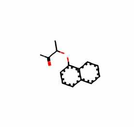 CCC(=O)C(C)Oc1cccc2ccccc12